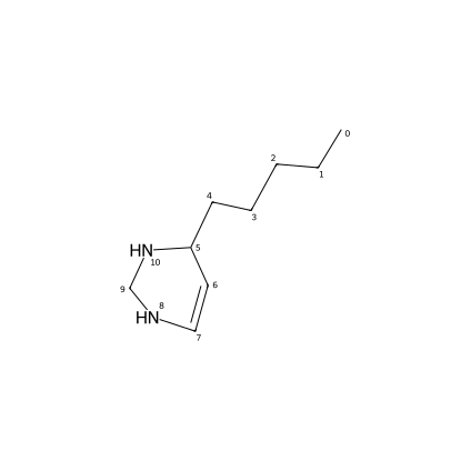 CCCCCC1C=CNCN1